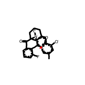 Cc1cnc(OC2CC3CCC2N(C(=O)c2cccc(F)c2-c2ncccn2)C3)c(Cl)c1